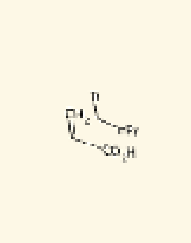 C=CC(=O)O.CCC[CH2][Ti]